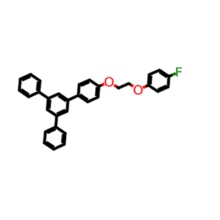 Fc1ccc(OCCOc2ccc(-c3cc(-c4ccccc4)cc(-c4ccccc4)c3)cc2)cc1